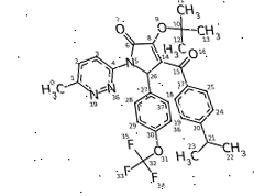 Cc1ccc(N2C(=O)C(OC(C)(C)C)=C(C(=O)c3ccc(C(C)C)cc3)C2c2ccc(OC(F)(F)F)cc2)nn1